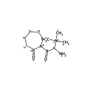 C[N+](C)(C)C(N)C(=O)N1CCCCCC1=O